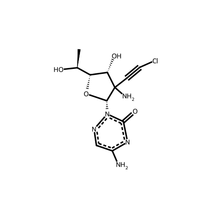 C[C@H](O)[C@H]1O[C@@H](n2ncc(N)nc2=O)C(N)(C#CCl)[C@H]1O